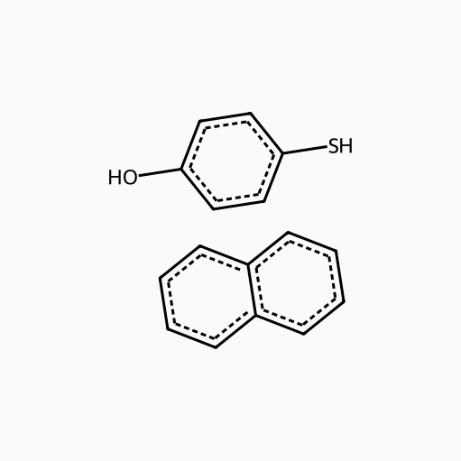 Oc1ccc(S)cc1.c1ccc2ccccc2c1